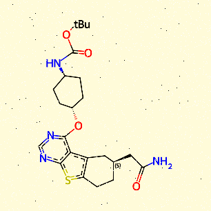 CC(C)(C)OC(=O)N[C@H]1CC[C@H](Oc2ncnc3sc4c(c23)C[C@@H](CC(N)=O)CC4)CC1